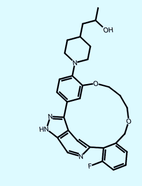 CC(O)CC1CCN(c2ccc3cc2OCCCOCc2cccc(F)c2-c2cc4c-3n[nH]c4cn2)CC1